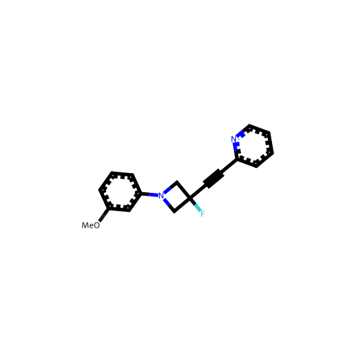 COc1cccc(N2CC(F)(C#Cc3ccccn3)C2)c1